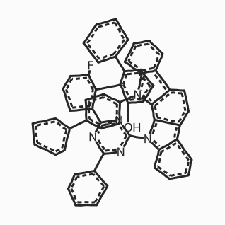 Oc1cccc(-c2ccccc2)c1-c1c(F)cccc1-c1nc(-c2ccccc2)nc(-n2c3ccccc3c3ccc4c5ccccc5n(-c5ccc(-c6ccccc6)cc5)c4c32)n1